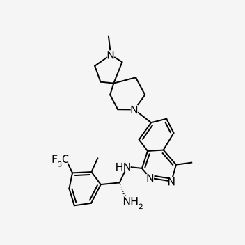 Cc1c([C@@H](N)Nc2nnc(C)c3ccc(N4CCC5(CCN(C)C5)CC4)cc23)cccc1C(F)(F)F